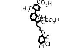 Cc1cc(C(=O)O)ccc1-c1cccc2c(CCCOc3ccc(Cl)c(Cl)c3Cl)c(OC(=O)O)[nH]c12